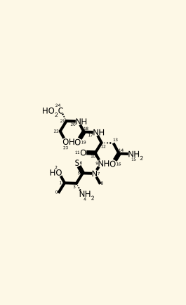 CC(O)[C@@H](N)C(=S)N(C)NC(=O)[C@@H](CC(N)=O)NC(=O)N[C@H](CO)C(=O)O